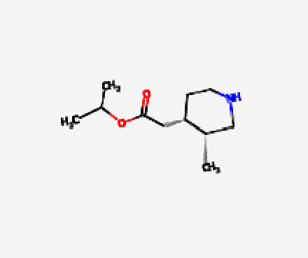 CC(C)OC(=O)C[C@@H]1CCNC[C@@H]1C